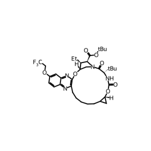 CC[C@@H]1[C@@H]2CN(C(=O)[C@H](C(C)(C)C)NC(=O)O[C@@H]3CC3CCCCCc3nc4ccc(OCC(F)(F)F)cc4nc3O2)[C@@H]1C(=O)OC(C)(C)C